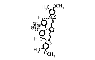 CCN1C(=CC=C2CCC(C=Cc3sc4cc(OC)c(C)cc4[n+]3CC)=C2N(c2ccccc2)c2ccccc2)Sc2cc(OC)c(C)cc21.[O-][Cl+3]([O-])([O-])[O-]